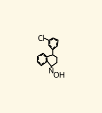 ON=C1CCC(c2cccc(Cl)c2)c2ccccc21